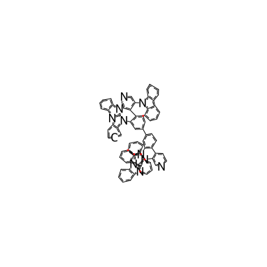 c1ccc2c(c1)nc1n(-c3cnccc3-c3ccc(-c4ccc(-c5ccncc5-n5c6ccccc6c6ccccc65)c(-n5c6ccccc6n6c7ccccc7nc56)c4)cc3-n3c4ccccc4c4ccccc43)c3ccccc3n21